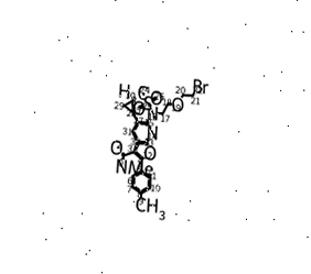 CNC(=O)c1c(-c2ccc(C)cc2)oc2nc(N(CCOCCBr)S(C)(=O)=O)c(C3CC3)cc12